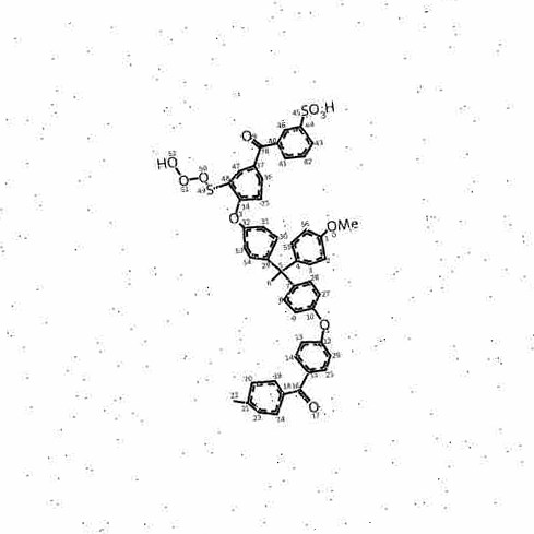 COc1ccc(C(C)(c2ccc(Oc3ccc(C(=O)c4ccc(C)cc4)cc3)cc2)c2ccc(Oc3ccc(C(=O)c4cccc(S(=O)(=O)O)c4)cc3SOOO)cc2)cc1